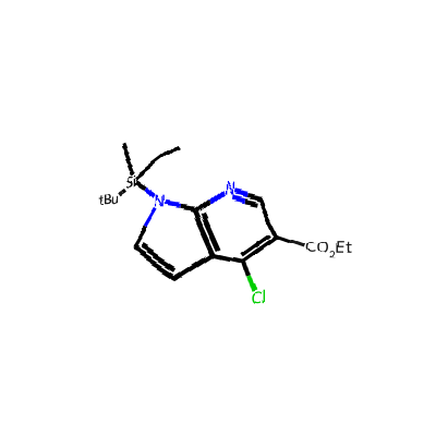 CCOC(=O)c1cnc2c(ccn2[Si](C)(C)C(C)(C)C)c1Cl